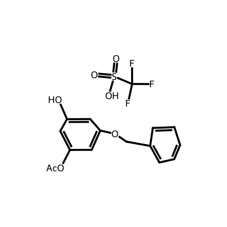 CC(=O)Oc1cc(O)cc(OCc2ccccc2)c1.O=S(=O)(O)C(F)(F)F